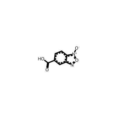 O=C(O)c1ccc2c(c1)no[n+]2[O-]